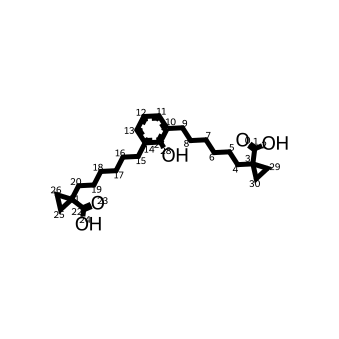 O=C(O)C1(CCCCCCc2cccc(CCCCCCC3(C(=O)O)CC3)c2O)CC1